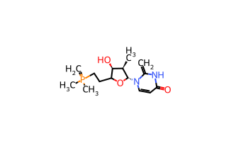 C=C1NC(=O)C=CN1[C@@H]1OC(CCP(=C)(C)C)[C@@H](O)[C@H]1C